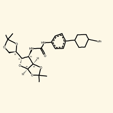 CCCC1CCC(c2ccc(NC(=O)N[C@H]3[C@H]4OC(C)(C)O[C@H]4O[C@@H]3[C@H]3COC(C)(C)O3)cc2)CC1